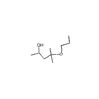 CCCOC(C)(C)CC(C)O